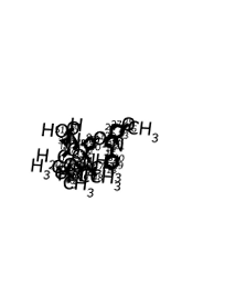 C=C[C@@H]1C[C@]1(NC(=O)[C@@H]1C[C@@H](Oc2cc(-c3ccccc3)nc3cc(OC)ccc23)C=C1C(=O)N[C@H](C(=O)N[C@@H](C)C(=O)OC)C(C)(C)C)C(=O)O